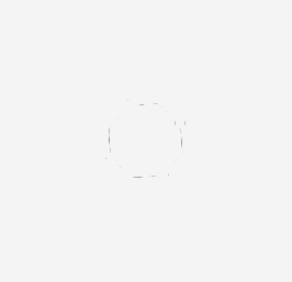 C1OCOCOCO1